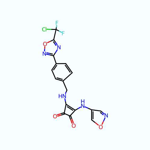 O=c1c(NCc2ccc(-c3noc(C(F)(F)Cl)n3)cc2)c(Nc2cnoc2)c1=O